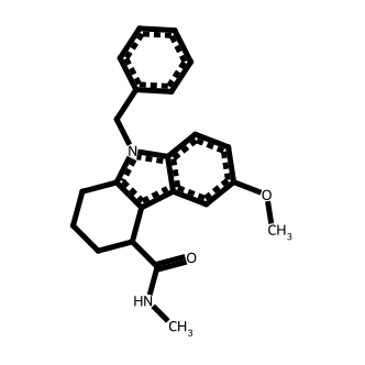 CNC(=O)C1CCCc2c1c1cc(OC)ccc1n2Cc1ccccc1